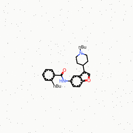 CCCCc1ccccc1C(=O)Nc1ccc2occ(C3CCN(CCCC)CC3)c2c1